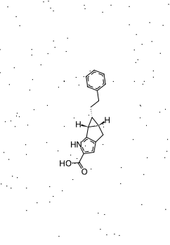 O=C(O)c1cc2c([nH]1)[C@@H]1[C@H](CCc3ccccc3)[C@@H]1C2